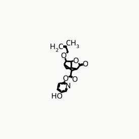 C=C(C)COC1C2CC3C1OC(=O)C3C2C(=O)Oc1ccc(O)cn1